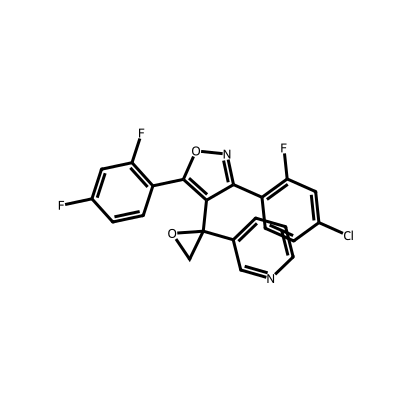 Fc1ccc(-c2onc(-c3ccc(Cl)cc3F)c2C2(c3cccnc3)CO2)c(F)c1